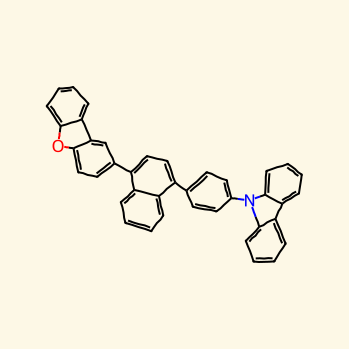 c1ccc2c(c1)oc1ccc(-c3ccc(-c4ccc(-n5c6ccccc6c6ccccc65)cc4)c4ccccc34)cc12